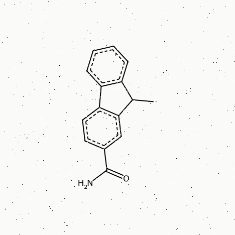 [CH2]C1c2ccccc2-c2ccc(C(N)=O)cc21